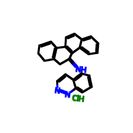 Cl.N=C1CC2=C(C=CCC2)c2ccc3ccccc3c21.c1ccc2nnccc2c1